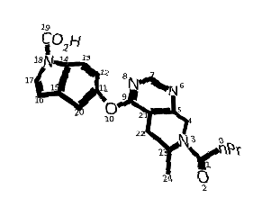 CCCC(=O)N1Cc2ncnc(Oc3ccc4c(ccn4C(=O)O)c3)c2CC1C